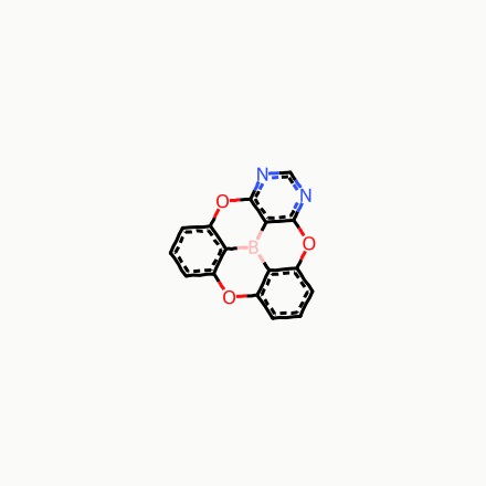 c1cc2c3c(c1)Oc1ncnc4c1B3c1c(cccc1O4)O2